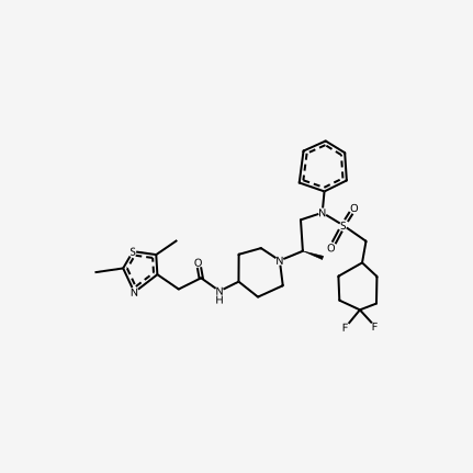 Cc1nc(CC(=O)NC2CCN([C@H](C)CN(c3ccccc3)S(=O)(=O)CC3CCC(F)(F)CC3)CC2)c(C)s1